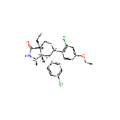 CCOc1ccc([C@@H]2CC[C@@]3(CC)C(=O)N[C@H](C)[C@H]3[C@H]2c2ccc(Cl)cc2)c(Cl)c1